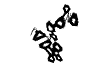 Fc1ccc(N(C2=CC3C(C=C2)c2ccccc2C3(c2ccccc2)c2ccccc2)c2cccc(C3=CC(c4ccc5c(c4)c4ccccc4n5-c4ccccc4)=CCC3)c2)cc1